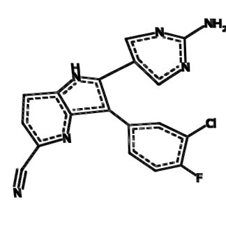 N#Cc1ccc2[nH]c(-c3cnc(N)nc3)c(-c3ccc(F)c(Cl)c3)c2n1